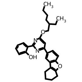 CCCCC(CC)COc1cc(-c2ccc3oc4c(c3c2)CCCC4)nc(-c2ccccc2O)n1